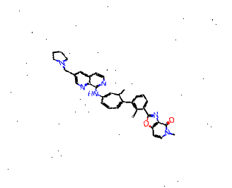 Cc1c(C2=CC=CC(Nc3nccc4cc(CN5CCCC5)cnc34)=CC2C)cccc1-c1nc2c(=O)n(C)ccc2o1